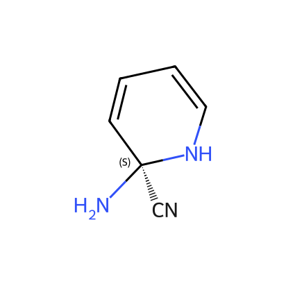 N#C[C@]1(N)C=CC=CN1